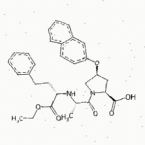 CCOC(=O)[C@H](CCc1ccccc1)N[C@@H](C)C(=O)N1C[C@@H](Oc2ccc3ccccc3c2)C[C@H]1C(=O)O